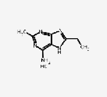 CCc1nc2nc(C)nc(N)c2[nH]1.Cl